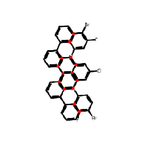 Fc1cc(N(c2cc(Cl)cc(N(c3ccc(Br)c(F)c3)c3c(-c4ccccc4)cccc3-c3ccccc3)c2)c2c(-c3ccccc3)cccc2-c2ccccc2)ccc1Br